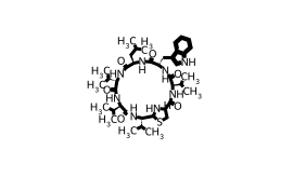 CC(C)C[C@H]1NC(=O)[C@H](Cc2c[nH]c3ccccc23)NC(=O)[C@@H](C(C)C)NC(=O)[C@@H]2CSC(N2)[C@H](C(C)C)NC(=O)[C@@H](C(C)C)NC(=O)[C@H](C(C)C)NC1=O